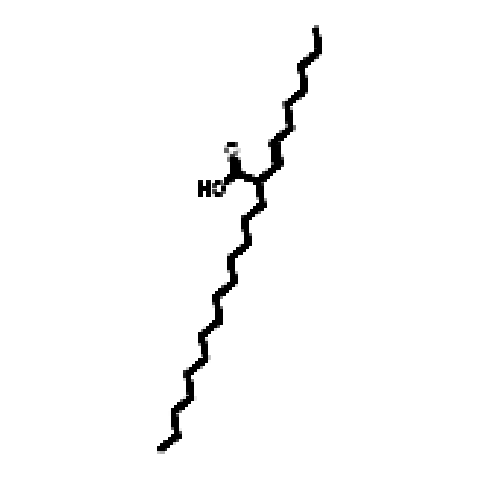 CCCCCCC=CC(CCCCCCCCCCCCCC)C(=O)O